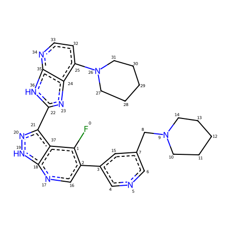 Fc1c(-c2cncc(CN3CCCCC3)c2)cnc2[nH]nc(-c3nc4c(N5CCCCC5)ccnc4[nH]3)c12